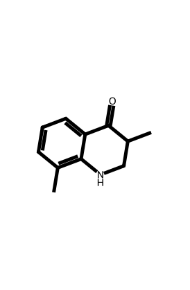 Cc1cccc2c1NCC(C)C2=O